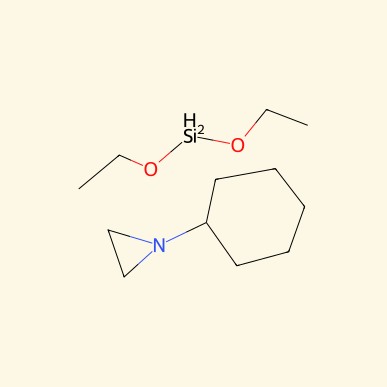 C1CCC(N2CC2)CC1.CCO[SiH2]OCC